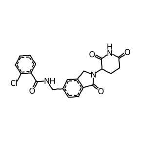 O=C1CCC(N2Cc3cc(CNC(=O)c4ccccc4Cl)ccc3C2=O)C(=O)N1